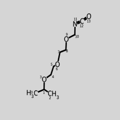 CC(C)OCCOCCOCN=C=O